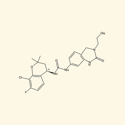 CC1(C)C[C@@H](NC(=O)Nc2ccc3c(c2)NC(=O)N(CCO)C3)c2ccc(F)c(Cl)c2O1